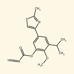 COc1c(OC(=O)N=N)cc(-c2csc(C)n2)cc1C(C)C